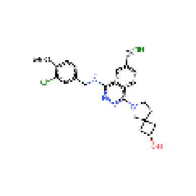 COc1ccc(CNc2nnc(N3CCC4(CC(O)C4)C3)c3ccc(C#N)cc23)cc1Cl.Cl